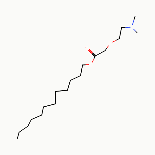 CCCCCCCCCCCCOC(=O)COCCN(C)C